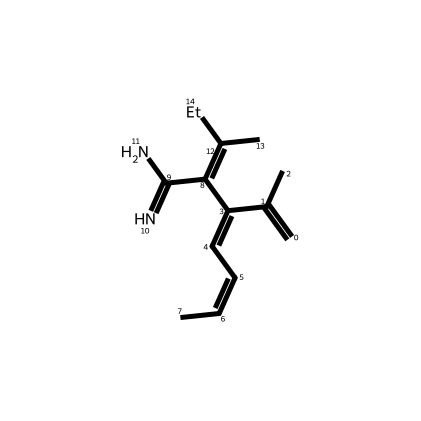 C=C(C)C(=C\C=C/C)/C(C(=N)N)=C(\C)CC